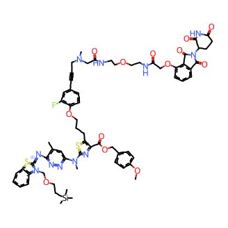 COc1ccc(COC(=O)c2nc(N(C)c3cc(C)c(/N=c4/sc5ccccc5n4COCC[Si](C)(C)C)nn3)sc2CCCOc2ccc(C#CCN(C)CC(=O)NCCOCCNC(=O)COc3cccc4c3C(=O)N(C3CCC(=O)NC3=O)C4=O)cc2F)cc1